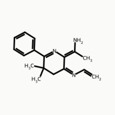 C=C/N=C1/CC(C)(C)C(c2ccccc2)=N/C1=C(/C)N